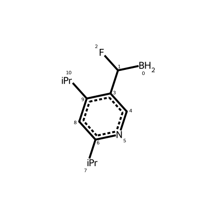 BC(F)c1cnc(C(C)C)cc1C(C)C